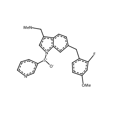 CNCc1cn([S+]([O-])c2cccnc2)c2cc(Cc3ccc(OC)cc3F)ccc12